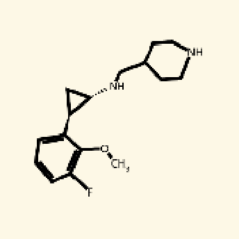 COc1c(F)cccc1[C@H]1C[C@@H]1NCC1CCNCC1